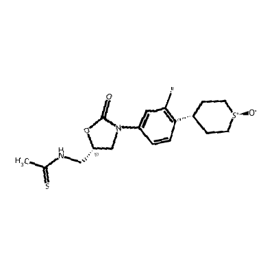 CC(=S)NC[C@H]1CN(c2ccc([C@H]3CC[S@+]([O-])CC3)c(F)c2)C(=O)O1